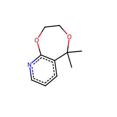 CC1(C)OCCOc2ncccc21